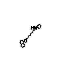 c1ccc(NCCCCCCCCOc2cccc3ccccc23)cc1